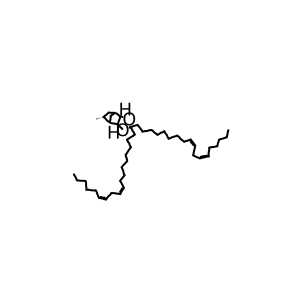 CCCCC/C=C\C/C=C\CCCCCCCCC1(CCCCCCCC/C=C\C/C=C\CCCCC)O[C@@H]2C3CC([C@H](C)C3)[C@@H]2O1